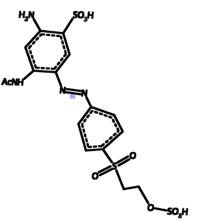 CC(=O)Nc1cc(N)c(S(=O)(=O)O)cc1/N=N/c1ccc(S(=O)(=O)CCOS(=O)(=O)O)cc1